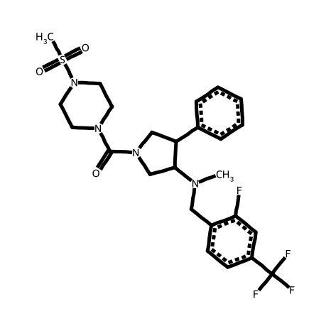 CN(Cc1ccc(C(F)(F)F)cc1F)C1CN(C(=O)N2CCN(S(C)(=O)=O)CC2)CC1c1ccccc1